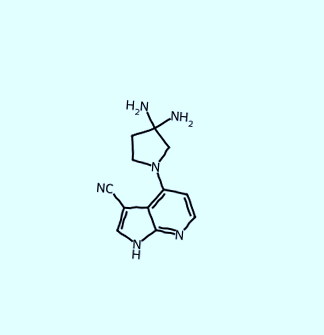 N#Cc1c[nH]c2nccc(N3CCC(N)(N)C3)c12